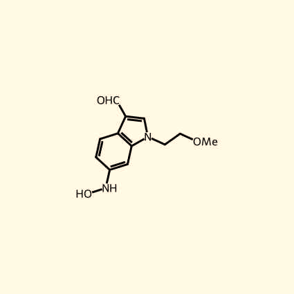 COCCn1cc(C=O)c2ccc(NO)cc21